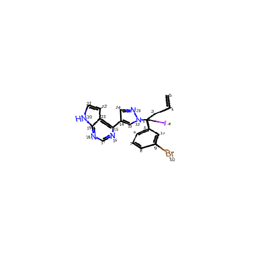 C=CCC(I)(c1cccc(Br)c1)n1cc(-c2ncnc3[nH]ccc23)cn1